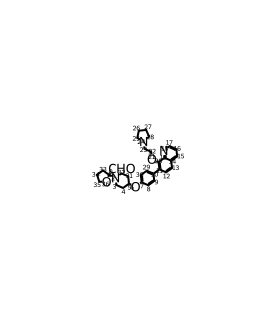 O=CC1(N2CCC(Oc3ccc(-c4ccc5cccnc5c4OCCN4CCCC4)cc3)CC2)CCCO1